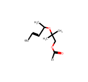 CCC(=O)OCC(C)(C)OC(C)C=CC(C)(C)C